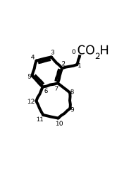 O=C(O)Cc1cccc2c1CCCCC2